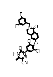 C=C1NC(=O)N(c2cc(Cl)c(Oc3ccc4c(c3)CCN(Cc3cc(F)cc(F)c3)C4=O)c(Cl)c2)N=C1C#N